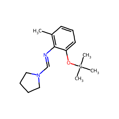 Cc1cccc(O[Si](C)(C)C)c1N=CN1CCCC1